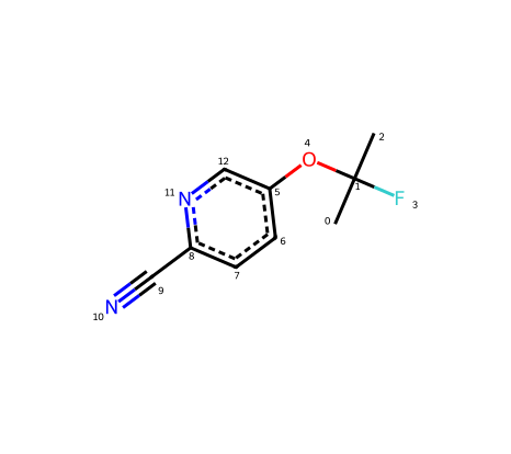 CC(C)(F)Oc1ccc(C#N)nc1